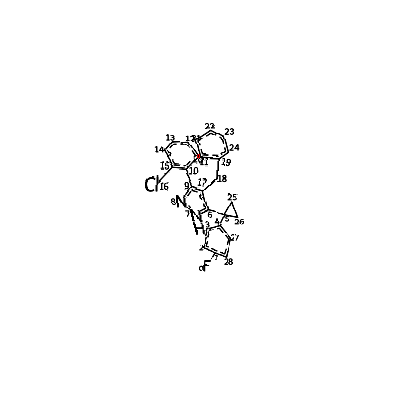 Fc1ccc(C2(c3[nH]nc(-c4ccccc4Cl)c3Cc3ccccc3)CC2)cc1